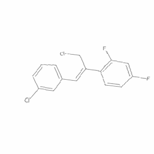 Fc1ccc(/C(=C/c2cccc(Cl)c2)CCl)c(F)c1